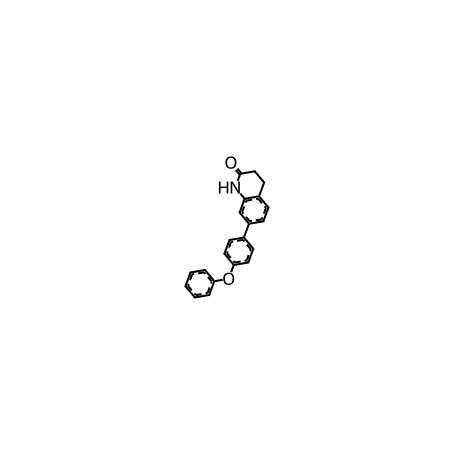 O=C1CCc2ccc(-c3ccc(Oc4ccccc4)cc3)cc2N1